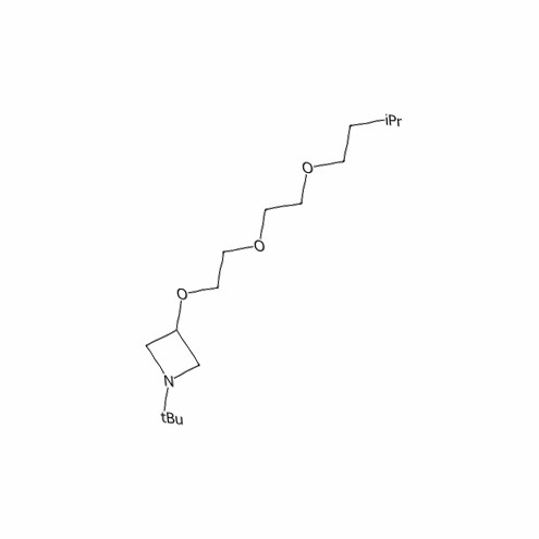 CC(C)CCOCCOCCOC1CN(C(C)(C)C)C1